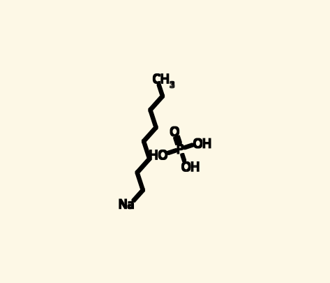 CCCCCCC[CH2][Na].O=P(O)(O)O